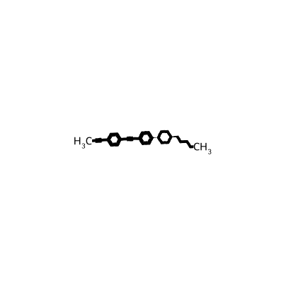 CC#Cc1ccc(C#Cc2ccc([C@H]3CC[C@H](CCCCC)CC3)cc2)cc1